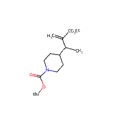 C=C(C(=O)OCC)C(C)C1CCN(C(=O)OC(C)(C)C)CC1